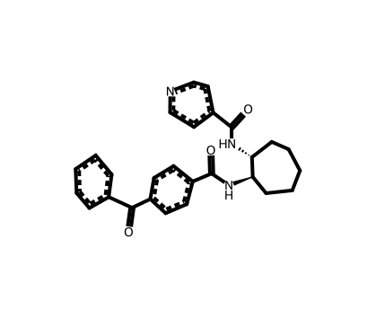 O=C(N[C@@H]1CCCCC[C@H]1NC(=O)c1ccc(C(=O)c2ccccc2)cc1)c1ccncc1